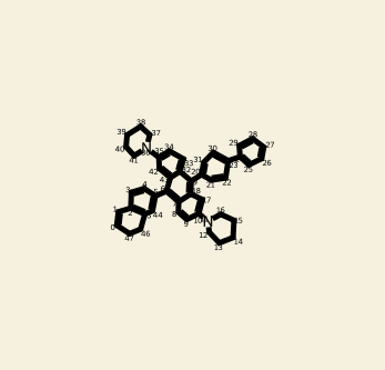 C1=Cc2ccc(-c3c4ccc(N5CCCCC5)cc4c(-c4ccc(-c5ccccc5)cc4)c4ccc(N5CCCCC5)cc34)cc2CC1